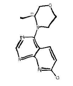 C[C@H]1COCCN1c1ncnc2nc(Cl)ccc12